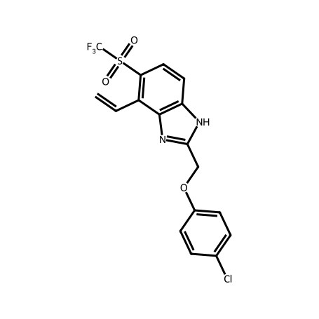 C=Cc1c(S(=O)(=O)C(F)(F)F)ccc2[nH]c(COc3ccc(Cl)cc3)nc12